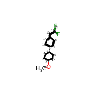 CO[C@H]1CC[C@H](c2ccc(C=C(F)F)cc2)CC1